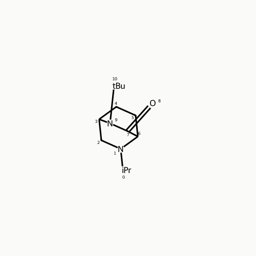 CC(C)N1CC2CCC1C(=O)N2C(C)(C)C